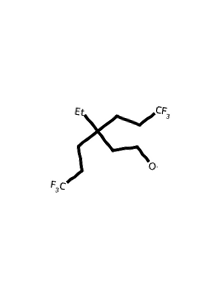 CCC(CC[O])(CCC(F)(F)F)CCC(F)(F)F